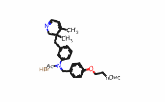 Br.CCCCCCCCCCCCOc1ccc(CN(C(C)=O)c2cccc(CC3(C)CN=CC=C3C)c2)cc1